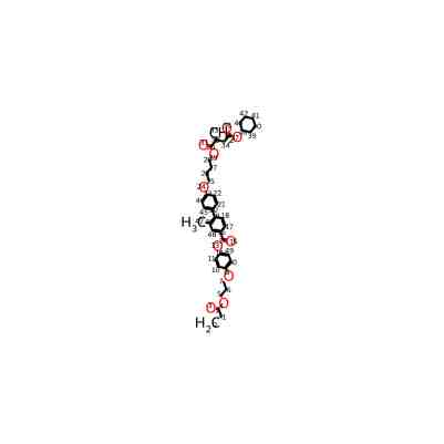 C=CC(=O)OCCCOc1ccc(OC(=O)c2ccc(-c3ccc(OCCCCOC(=O)C(=C)CC(=O)OC4CCCCC4)cc3)c(C)c2)cc1